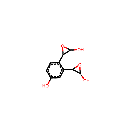 Oc1ccc(C2OC2O)c(C2O[C@H]2O)c1